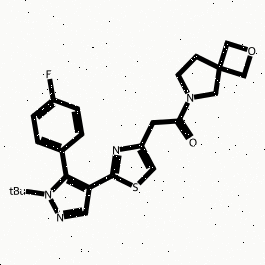 CC(C)(C)n1ncc(-c2nc(CC(=O)N3CCC4(COC4)C3)cs2)c1-c1ccc(F)cc1